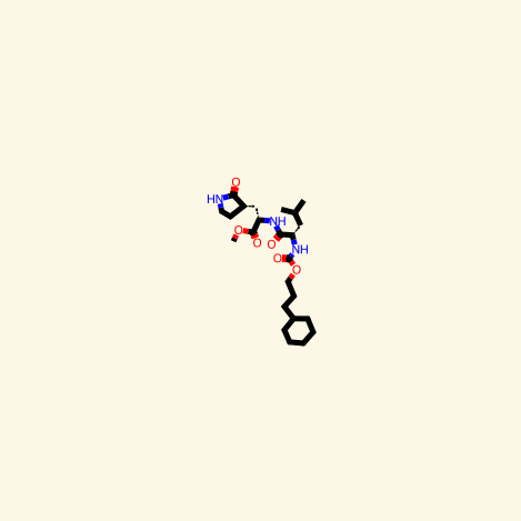 COC(=O)[C@H](C[C@@H]1CCNC1=O)NC(=O)[C@H](CC(C)C)NC(=O)OCCCC1CCCCC1